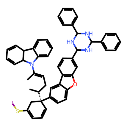 C/C(=C\CC(C)[C@]1(c2ccc3oc4cc(C5NC(c6ccccc6)NC(c6ccccc6)N5)ccc4c3c2)C=CC=C(SI)C1)N1c2ccccc2C2C=CC=CC21